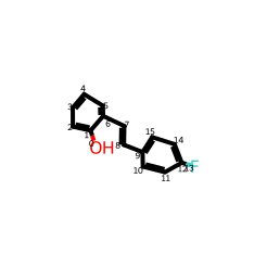 Oc1ccccc1C=Cc1ccc(F)cc1